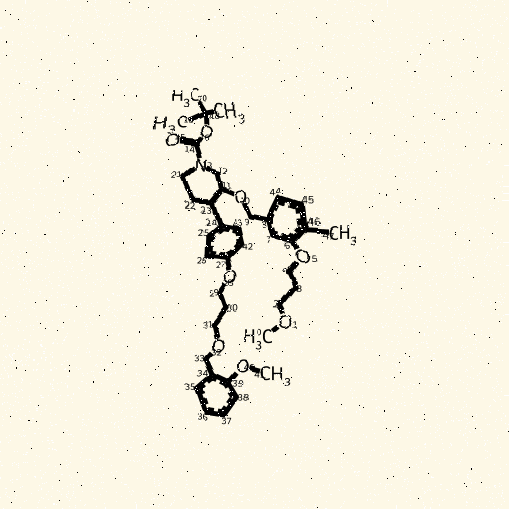 COCCCOc1cc(COC2CN(C(=O)OC(C)(C)C)CCC2c2ccc(OCCCOCc3ccccc3OC)cc2)ccc1C